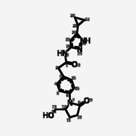 O=C(Cc1ccc(N2C(=O)CCC2CO)cc1)Nc1cc(C2CC2)[nH]n1